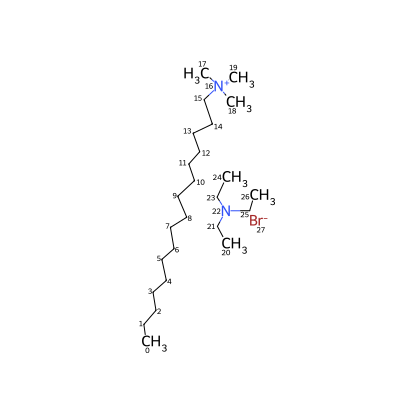 CCCCCCCCCCCCCCCC[N+](C)(C)C.CCN(CC)CC.[Br-]